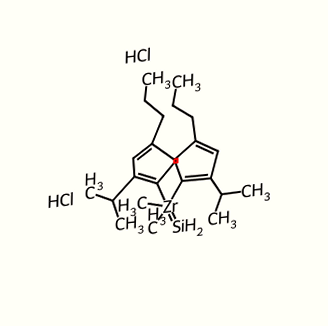 CCCC1=CC(C(C)C)=[C]([Zr]([CH3])([CH3])(=[SiH2])[C]2=C(C(C)C)C=C(CCC)C2)C1.Cl.Cl